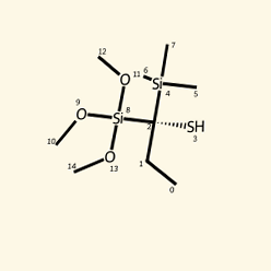 CC[C@](S)([Si](C)(C)C)[Si](OC)(OC)OC